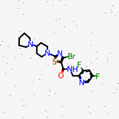 O=C(NCc1ncc(F)cc1F)c1sc(N2CCC(N3CCCCC3)CC2)nc1Br